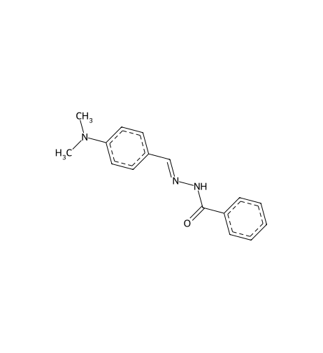 CN(C)c1ccc(C=NNC(=O)c2ccccc2)cc1